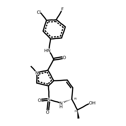 C[C@H](O)[C@H]1C=Cc2c(cn(C)c2C(=O)Nc2ccc(F)c(Cl)c2)S(=O)(=O)N1